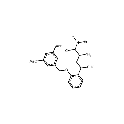 CCN(CC)C(Cl)C(N)CC(C=O)c1ccccc1OCc1cc(OC)cc(OC)c1